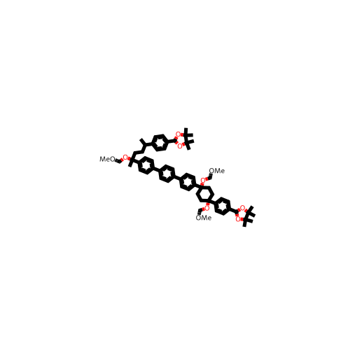 COCOC(C)(CCC(C)c1ccc(C2OC(C)(C)C(C)(C)O2)cc1)c1ccc(-c2ccc(-c3ccc(C4(OCOC)CCC(OCOC)(c5ccc(C6OC(C)(C)C(C)(C)O6)cc5)CC4)cc3)cc2)cc1